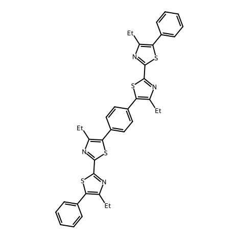 CCc1nc(-c2nc(CC)c(-c3ccc(-c4sc(-c5nc(CC)c(-c6ccccc6)s5)nc4CC)cc3)s2)sc1-c1ccccc1